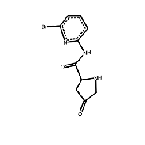 O=C1CNC(C(=O)Nc2cccc(Br)n2)C1